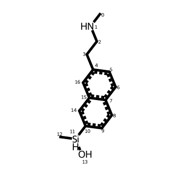 CNCCc1ccc2ccc([SiH](C)O)cc2c1